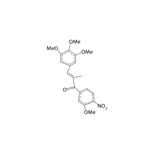 COc1cc(C(=O)/C(C)=C/c2cc(OC)c(OC)c(OC)c2)ccc1[N+](=O)[O-]